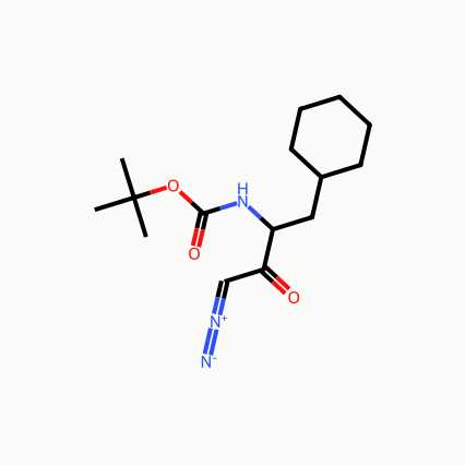 CC(C)(C)OC(=O)NC(CC1CCCCC1)C(=O)C=[N+]=[N-]